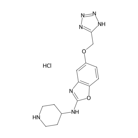 Cl.c1cc2oc(NC3CCNCC3)nc2cc1OCc1nnn[nH]1